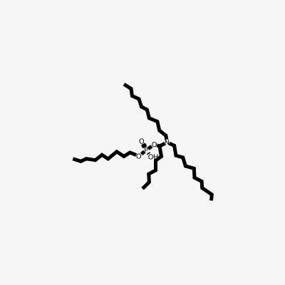 CCCCCCCCCCN(CCCCCCCCCC)C(CCCCCC)OP(=O)(O)OCCCCCCCCC